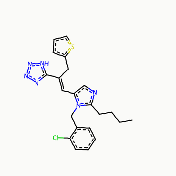 CCCCc1ncc(/C=C(\Cc2cccs2)c2nnn[nH]2)n1Cc1ccccc1Cl